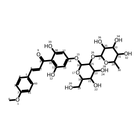 COc1ccc(C=CC(=O)c2c(O)cc(OC3OC(CO)C(O)C(O)C3OC3OC(C)C(O)C(O)C3O)cc2O)cc1